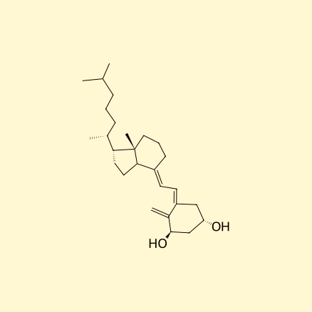 C=C1C(=CC=C2CCC[C@]3(C)C2CC[C@@H]3[C@H](C)CCCC(C)C)C[C@H](O)C[C@H]1O